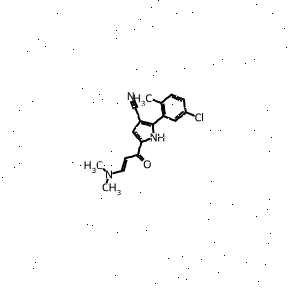 Cc1ccc(Cl)cc1-c1[nH]c(C(=O)/C=C/N(C)C)cc1C#N